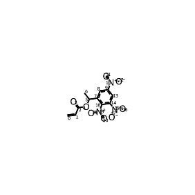 C=CC(=O)OC(C)c1cc([N+](=O)[O-])cc([N+](=O)[O-])c1[N+](=O)[O-]